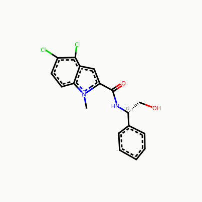 Cn1c(C(=O)N[C@H](CO)c2c[c]ccc2)cc2c(Cl)c(Cl)ccc21